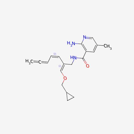 C=C=C/C=C\C(=C\OCC1CC1)CNC(=O)c1cc(C)cnc1N